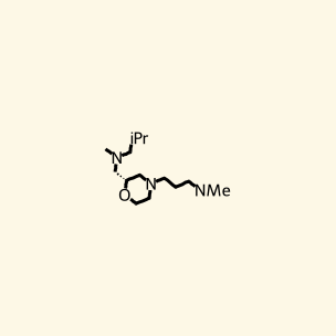 CNCCCN1CCO[C@H](CN(C)CC(C)C)C1